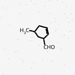 CC1CC=CC(C=O)C1